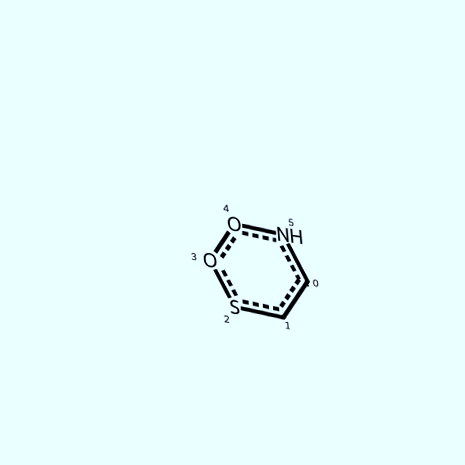 [c]1csoo[nH]1